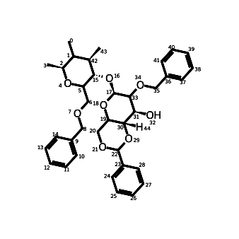 CC1[C@H](C)OC(COCc2ccccc2)[C@@H](O[C@@H]2OC3COC(c4ccccc4)O[C@H]3[C@H](O)C2OCc2ccccc2)[C@@H]1C